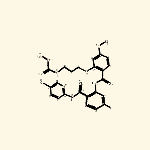 CCSc1ccc(C(=O)Nc2cc(F)ccc2C(=O)Nc2ccc(Cl)cn2)c(OCCCNC(=O)OC(C)(C)C)c1